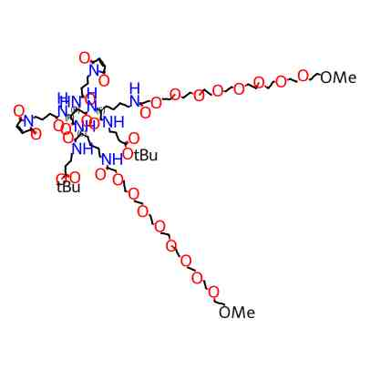 COCCOCCOCCOCCOCCOCCOCCOCCOCC(=O)NCCCC[C@H](NC(=O)[C@H](NC(=O)CCCN1C(=O)C=CC1=O)[C@@H](NC(=O)CCCN1C(=O)C=CC1=O)C(=O)N[C@@H](CCCCNC(=O)COCCOCCOCCOCCOCCOCCOCCOCCOC)C(=O)NCCCC(=O)OC(C)(C)C)C(=O)NCCCC(=O)OC(C)(C)C